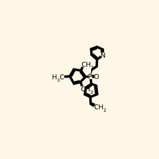 C=Cc1ccc([P@](=O)(CCc2ccccn2)c2c(C)cc(C)cc2C)cc1